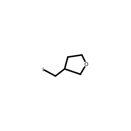 ICC1[CH]OCC1